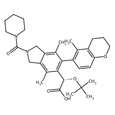 Cc1c(-c2c(C)c3c(c(C)c2[C@H](OC(C)(C)C)C(=O)O)CN(C(=O)N2CCCCC2)C3)ccc2c1CCCO2